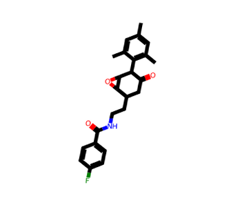 Cc1cc(C)c(C2C(=O)CC(CCNC(=O)c3ccc(F)cc3)C3OC23)c(C)c1